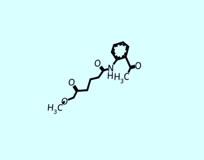 COCC(=O)CCCC(=O)Nc1ccccc1C(C)=O